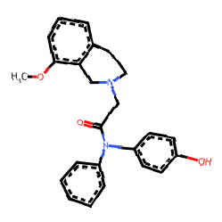 COc1cccc2c1CN(CC(=O)N(c1ccccc1)c1ccc(O)cc1)CC2